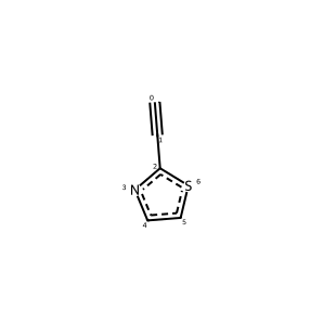 [C]#Cc1nccs1